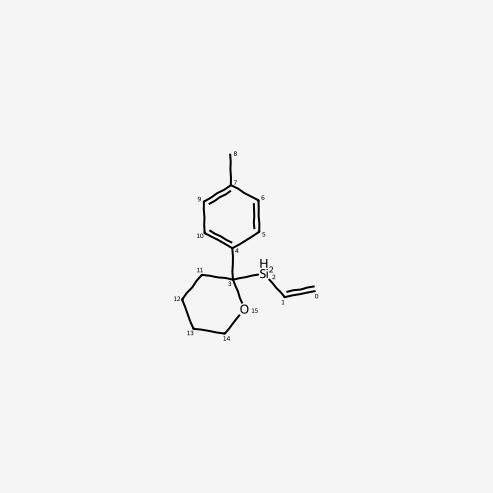 C=C[SiH2]C1(c2ccc(C)cc2)CCCCO1